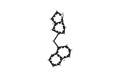 c1ccc2c(Cc3ccc4occc4c3)cccc2c1